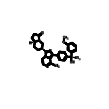 COc1cccc([C@@](C)(O)c2ccc(-c3nc([C@@H]4CC[C@H]5CCC(=O)N5C4)n4ccnc(N)c34)cc2)c1